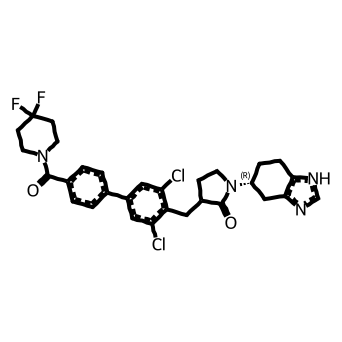 O=C(c1ccc(-c2cc(Cl)c(CC3CCN([C@@H]4CCc5[nH]cnc5C4)C3=O)c(Cl)c2)cc1)N1CCC(F)(F)CC1